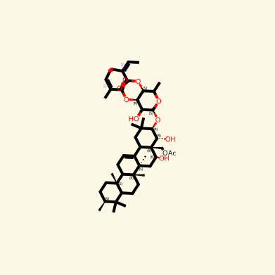 C/C=C(/C)C(=O)O[C@@H]1C(O)[C@H](O[C@H]2[C@H](O)[C@@]3(COC(C)=O)C(CC2(C)C)C2=CCC4[C@@]5(C)CC[C@H](C)C(C)(C)C5CC[C@@]4(C)[C@]2(C)C[C@H]3O)OC(C)[C@@H]1OC(=O)/C(C)=C\C